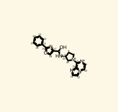 OC(N[C@H]1CCN(c2nccn3ccnc23)C1)c1coc(-c2ccccc2)n1